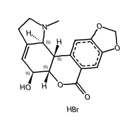 Br.CN1CCC2=C[C@H](O)[C@H]3OC(=O)c4cc5c(cc4[C@H]3[C@@H]21)OCO5